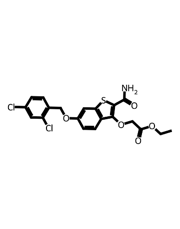 CCOC(=O)COc1c(C(N)=O)sc2cc(OCc3ccc(Cl)cc3Cl)ccc12